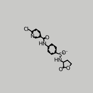 O=C(Nc1ccc([S+]([O-])NC2CCOC2=O)cc1)c1ccc(Cl)nc1